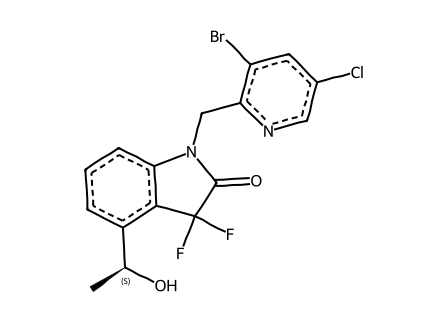 C[C@H](O)c1cccc2c1C(F)(F)C(=O)N2Cc1ncc(Cl)cc1Br